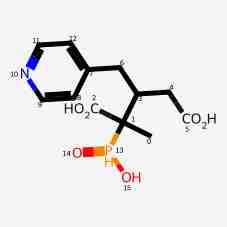 CC(C(=O)O)(C(CC(=O)O)Cc1ccncc1)[PH](=O)O